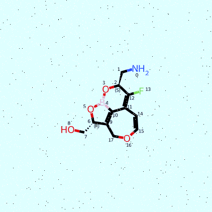 NC[C@@H]1OB2O[C@@H](CO)C3=C2C(=C1F)C=COC3